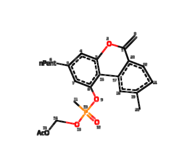 C=C1Oc2cc(CCCCC)cc(OP(C)(=O)OCOC(C)=O)c2-c2cc(C)ccc21